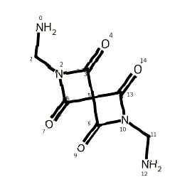 NCN1C(=O)C2(C1=O)C(=O)N(CN)C2=O